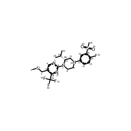 CSCc1cnc(N2CCN(c3ccc(F)c(S(C)(=O)=O)c3)C[C@H]2C(C)C)nc1C(F)(F)F